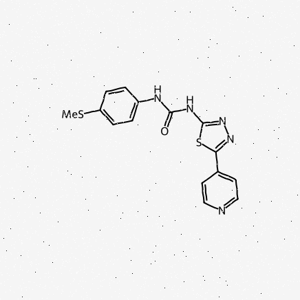 CSc1ccc(NC(=O)Nc2nnc(-c3ccncc3)s2)cc1